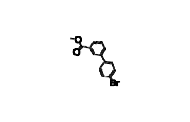 COC(=O)c1cccc(-c2ccc(Br)cc2)c1